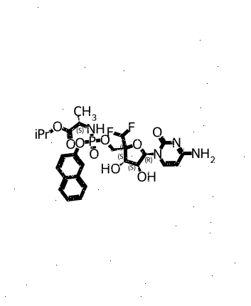 CC(C)OC(=O)[C@H](C)NP(=O)(OC[C@@]1(C(F)F)O[C@@H](n2ccc(N)nc2=O)[C@@H](O)[C@@H]1O)Oc1ccc2ccccc2c1